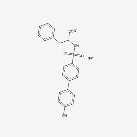 N#Cc1ccc(-c2ccc(S(=O)(=O)N[C@H](Cc3ccccc3)C(=O)[O-])cc2)cc1.[Na+]